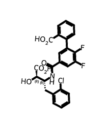 O=C(N[C@H](Cc1ccccc1Cl)[C@@H](O)C(=O)O)c1cc(F)c(F)c(-c2ccccc2C(=O)O)c1